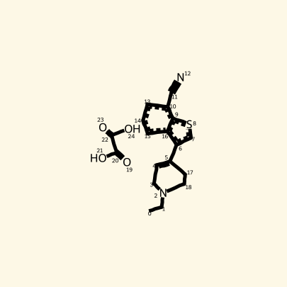 CCN1CC=C(c2csc3c(C#N)cccc23)CC1.O=C(O)C(=O)O